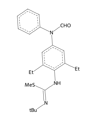 CCc1cc(N(C=O)c2ccccc2)cc(CC)c1N/C(=N/C(C)(C)C)SC